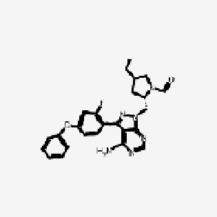 [CH2]CC1C[C@@H](Cn2nc(-c3ccc(Oc4ccccc4)cc3F)c3c(N)ncnc32)N(C=O)C1